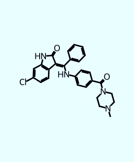 CN1CCN(C(=O)c2ccc(NC(=C3C(=O)Nc4cc(Cl)ccc43)c3ccccc3)cc2)CC1